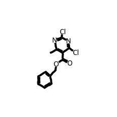 Cc1nc(Cl)nc(Cl)c1C(=O)OCc1ccccc1